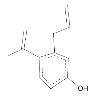 C=CCc1cc(O)ccc1C(=C)C